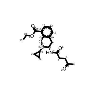 CC(=O)CCC(=O)N[C@H]1Cc2cccc(C(=O)OCI)c2OB1C1CC1